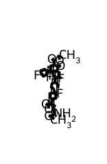 CCOC(=O)c1cn(-c2ccc(F)cc2F)c2nc(N3CCN(c4ccc(N5CC([C@H](N)C(C)=O)OC5=O)cc4F)CC3)c(F)cc2c1=O